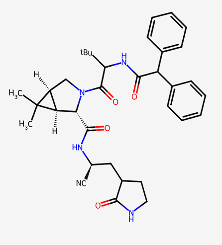 CC(C)(C)C(NC(=O)C(c1ccccc1)c1ccccc1)C(=O)N1C[C@H]2[C@@H]([C@H]1C(=O)N[C@H](C#N)CC1CCNC1=O)C2(C)C